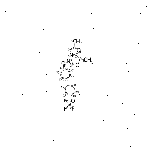 Cc1cnc(C(C)Oc2noc3ccc(-c4ccc(OC(F)(F)F)cc4)cc23)o1